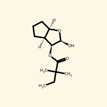 CCC(C)(C)C(=O)O[C@H]1[C@H]2CCC[C@H]2O[C@H]1O